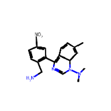 CC1=CC2C(=C(c3cc([N+](=O)[O-])ccc3CN)N=CN2N(C)C)C=C1